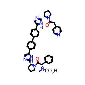 CN(C(=O)O)[C@@H](C(=O)N1CCC[C@H]1c1ncc(-c2ccc(-c3ccc(-c4cnc([C@@H]5CCCN5C(=O)Cc5ccncc5)[nH]4)cc3)cc2)[nH]1)c1ccccc1